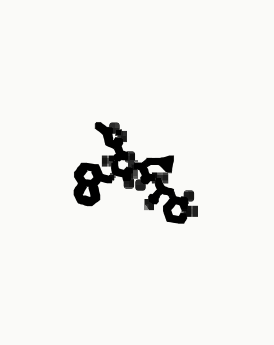 Cc1cc(C(=O)N[C@@H](Cc2cccc3ccccc23)C(=O)N[C@@H](CC2CC2)C(=O)N[C@H](C#N)C[C@@H]2CCCNC2=O)no1